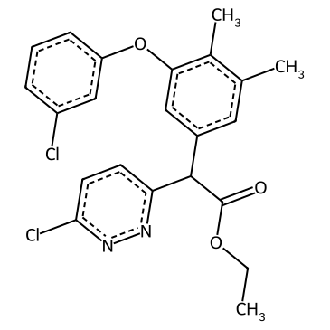 CCOC(=O)C(c1cc(C)c(C)c(Oc2cccc(Cl)c2)c1)c1ccc(Cl)nn1